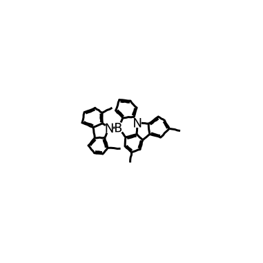 Cc1ccc2c(c1)c1cc(C)cc3c1n2-c1ccccc1B3n1c2c(C)cccc2c2cccc(C)c21